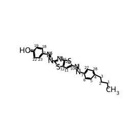 CCCCc1ccc(N=Nc2cc3sc(N=Nc4ccc(O)cc4)nc3s2)cc1